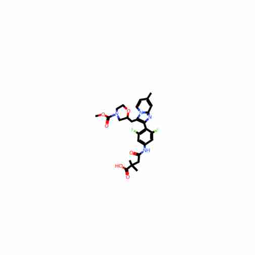 COC(=O)N1CCOC(Cc2c(-c3c(F)cc(NC(=O)CC(C)(C)C(=O)O)cc3F)nc3cc(C)ccn23)C1